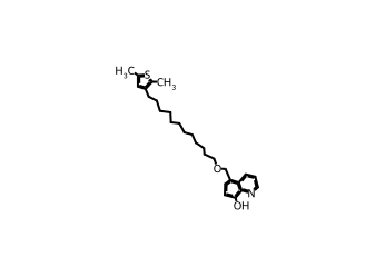 Cc1cc(CCCCCCCCCCCCOCc2ccc(O)c3ncccc23)c(C)s1